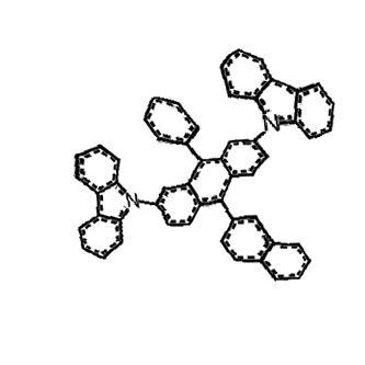 c1ccc(-c2c3cc(-n4c5ccccc5c5ccccc54)ccc3c(-c3ccc4ccccc4c3)c3ccc(-n4c5ccccc5c5ccccc54)cc23)cc1